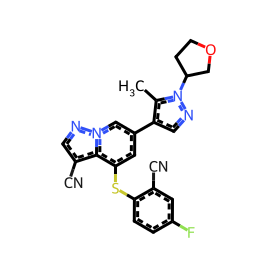 Cc1c(-c2cc(Sc3ccc(F)cc3C#N)c3c(C#N)cnn3c2)cnn1C1CCOC1